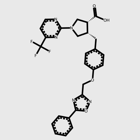 O=C(O)[C@H]1CN(c2nccc(C(F)(F)F)n2)C[C@H]1Cc1ccc(OCc2noc(-c3ccccc3)n2)cc1